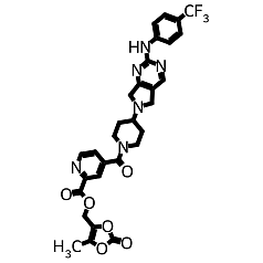 Cc1oc(=O)oc1COC(=O)c1cc(C(=O)N2CCC(N3Cc4cnc(Nc5ccc(C(F)(F)F)cc5)nc4C3)CC2)ccn1